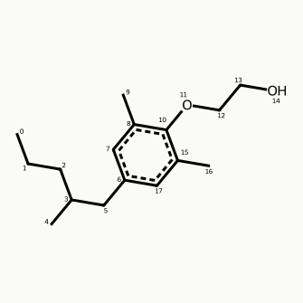 CCCC(C)Cc1cc(C)c(OCCO)c(C)c1